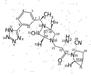 C[C@H](c1cccc(-c2nnn[nH]2)c1)N1C(=O)[C@@H]2C[C@H]1CN2C[C@H](N)C(=O)N1[C@H](C#N)CC2C[C@@H]21